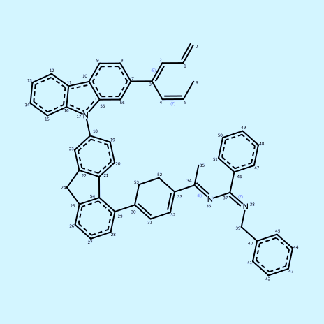 C=C/C=C(\C=C/C)c1ccc2c3ccccc3n(-c3ccc4c(c3)Cc3cccc(C5=CC=C(/C(C)=N/C(=N\Cc6ccccc6)c6ccccc6)CC5)c3-4)c2c1